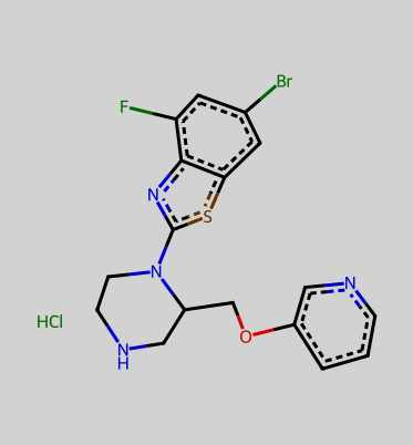 Cl.Fc1cc(Br)cc2sc(N3CCNCC3COc3cccnc3)nc12